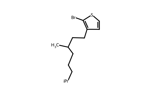 CC(C)CCCC(C)CCc1ccsc1Br